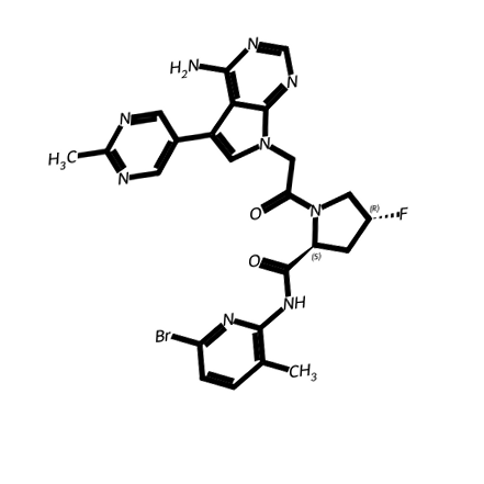 Cc1ncc(-c2cn(CC(=O)N3C[C@H](F)C[C@H]3C(=O)Nc3nc(Br)ccc3C)c3ncnc(N)c23)cn1